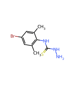 Cc1cc(Br)cc(C)c1NC(=S)NN